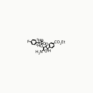 [2H]C1(c2ccc(C(=O)OCC)cc2)OC(N)=C(OS(=O)(=O)C([2H])([2H])c2ccc(F)cc2)C1=O